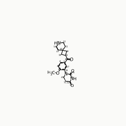 COc1ccc(C(=O)C2CC3(CCNCC3)C2)cc1N1CCC(=O)NC1=O